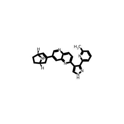 Cc1cccc(-c2n[nH]cc2-c2ccc3ncc(C4=C[C@H]5CC[C@@H](C4)N5)cc3n2)n1